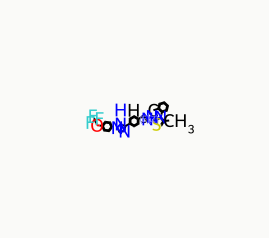 Cc1ccccc1-n1c(C)cs/c1=N\N=C\c1ccc(C2N=CN(c3ccc(OC(F)(F)F)cc3)N2)cc1